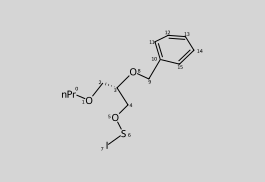 CCCOC[C@@H](COSI)OCc1ccccc1